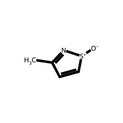 Cc1cc[s+]([O-])n1